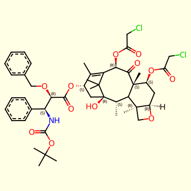 CC1=C2[C@@H](OC(=O)CCl)C(=O)[C@@]3(C)C([C@H](C)[C@](O)(C[C@@H]1OC(=O)[C@H](OCc1ccccc1)[C@@H](NC(=O)OC(C)(C)C)c1ccccc1)C2(C)C)[C@]1(C)CO[C@@H]1C[C@@H]3OC(=O)CCl